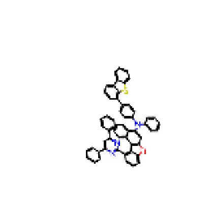 c1ccc(-c2cc(-c3ccccc3)nc(-c3cccc4oc5cc(N(c6ccccc6)c6ccc(-c7cccc8c7sc7ccccc78)cc6)c6ccccc6c5c34)n2)cc1